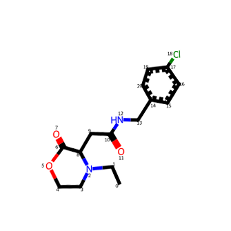 CCN1CCOC(=O)C1CC(=O)NCc1ccc(Cl)cc1